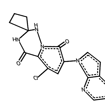 O=C1NC2(CCC2)Nn2c1c(Cl)cc(-n1ccc3cncnc31)c2=O